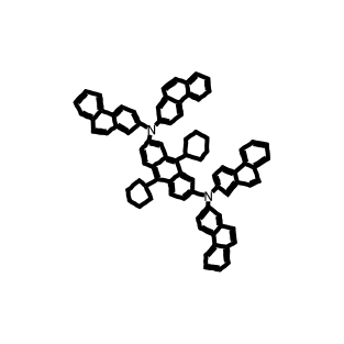 c1ccc2c(c1)ccc1cc(N(c3ccc4c(ccc5ccccc54)c3)c3ccc4c(C5CCCCC5)c5ccc(N(c6ccc7c(ccc8ccccc87)c6)c6ccc7c(ccc8ccccc87)c6)cc5c(C5CCCCC5)c4c3)ccc12